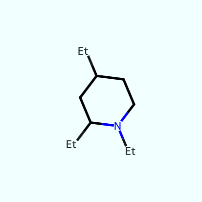 CCC1CCN(CC)C(CC)C1